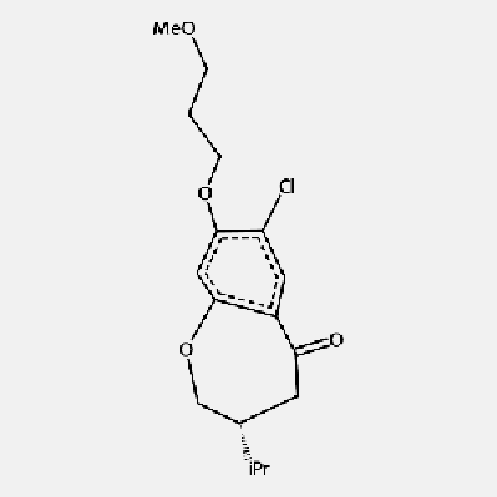 COCCCOc1cc2c(cc1Cl)C(=O)C[C@H](C(C)C)CO2